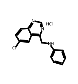 Cl.Clc1ccc2ncnc(CNc3ccccc3)c2c1